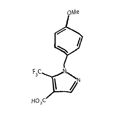 COc1ccc(-n2ncc(C(=O)O)c2C(F)(F)F)cc1